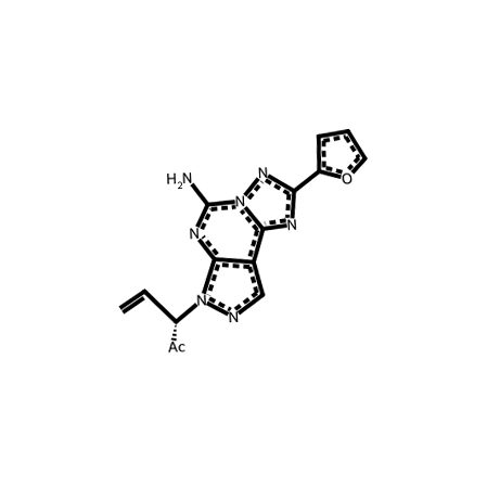 C=C[C@@H](C(C)=O)n1ncc2c1nc(N)n1nc(-c3ccco3)nc21